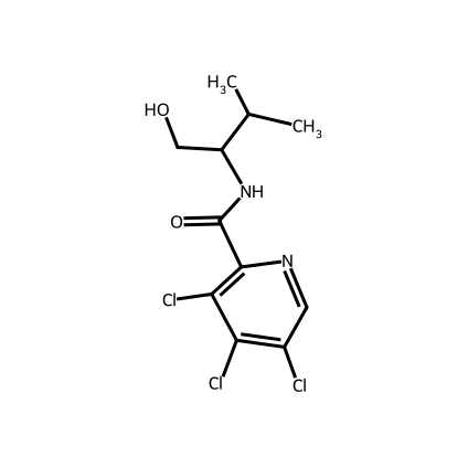 CC(C)C(CO)NC(=O)c1ncc(Cl)c(Cl)c1Cl